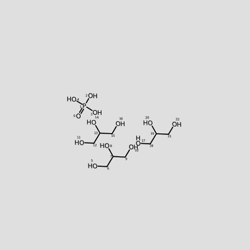 O=P(O)(O)O.OCC(O)CO.OCC(O)CO.OCC(O)CO